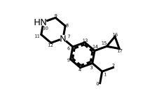 CC(C)c1ccc(N2CCNCC2)cc1C1CC1